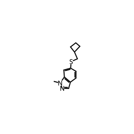 Cn1ncc2ccc(SCC3CCC3)cc21